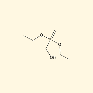 C=P(CO)(OCC)OCC